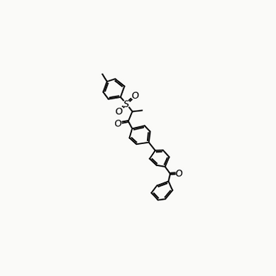 Cc1ccc(S(=O)(=O)C(C)C(=O)c2ccc(-c3ccc(C(=O)c4ccccc4)cc3)cc2)cc1